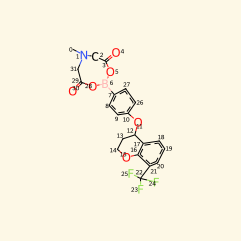 CN1CC(=O)OB(c2ccc(OC3CCOc4c3cccc4C(F)(F)F)cc2)OC(=O)C1